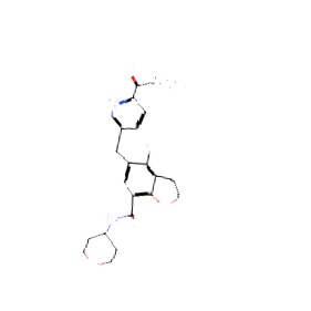 CNC(=O)c1ccc(Cc2cc(C(=O)NC3CCOCC3)c3c(c2C)CCO3)cn1